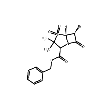 CC1(C)[C@H](C(=O)OCc2ccccc2)N2C(=O)[C@H](Br)[C@H]2S1(=O)=O